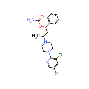 CC(CC(OC(N)=O)c1ccccc1)N1CCN(c2ncc(Cl)cc2Cl)CC1